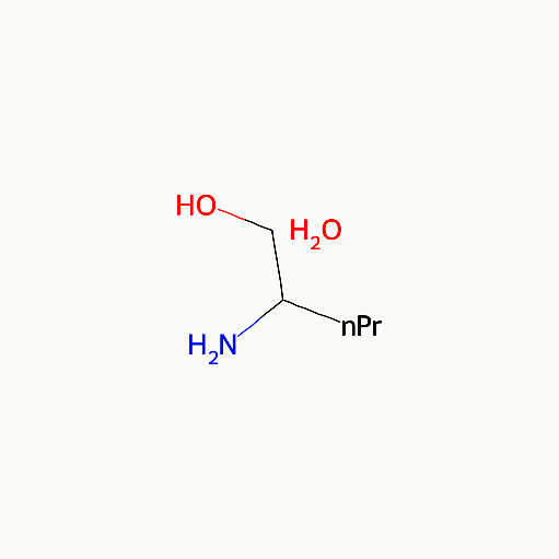 CCCC(N)CO.O